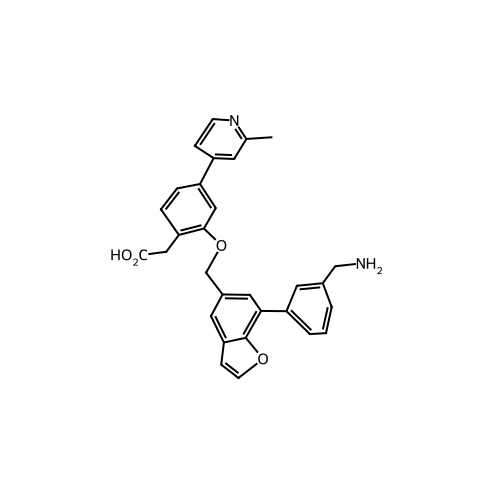 Cc1cc(-c2ccc(CC(=O)O)c(OCc3cc(-c4cccc(CN)c4)c4occc4c3)c2)ccn1